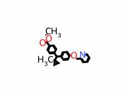 CCOC(=O)c1ccc(C(c2ccc(OCc3ccccn3)cc2)C2(C)CC2)cc1